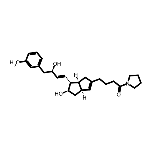 Cc1cccc(C[C@@H](O)/C=C/[C@@H]2[C@H]3CC(CCCC(=O)N4CCCC4)=C[C@H]3C[C@H]2O)c1